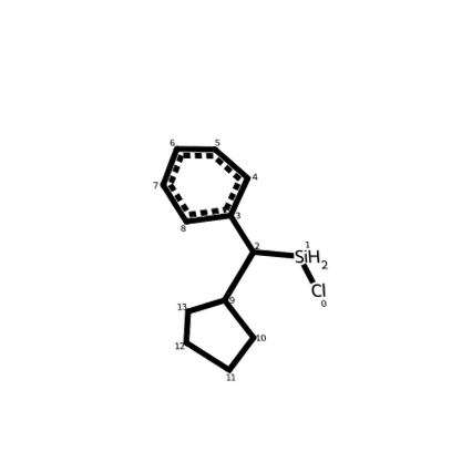 Cl[SiH2]C(c1ccccc1)C1CCCC1